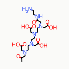 CC(=O)CN(CCN(CCN(CCN(CC(=O)O)CC(=O)NCCN)CC(=O)O)CC(=O)O)CC(=O)O